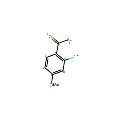 COc1ccc(C(=O)C(C)=O)c(F)c1